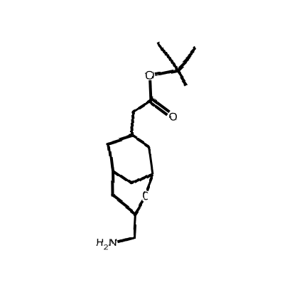 CC(C)(C)OC(=O)CC1CC2CC(CN)CC(C1)C2